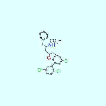 O=C(O)NC(Cc1ccccc1)CC1Cc2cc(Cl)cc(-c3cc(Cl)ccc3Cl)c2O1